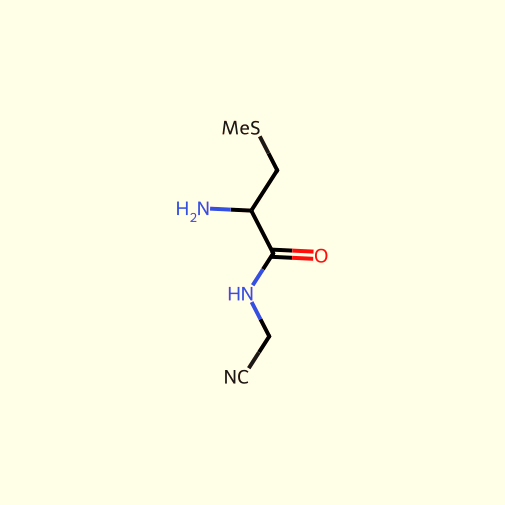 CSCC(N)C(=O)NCC#N